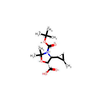 C[C@@H]1C[C@H]1[C@H]1[C@H](C(=O)O)OC(C)(C)N1C(=O)OC(C)(C)C